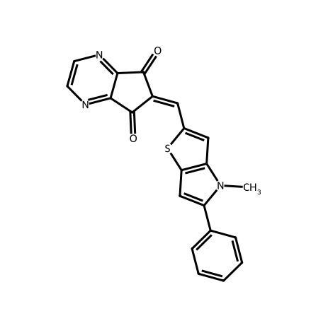 Cn1c(-c2ccccc2)cc2sc(C=C3C(=O)c4nccnc4C3=O)cc21